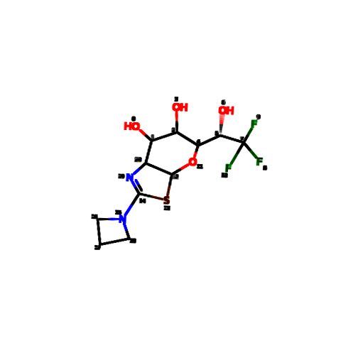 OC1C(O)C([C@H](O)C(F)(F)F)OC2SC(N3CCC3)=NC21